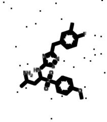 COc1ccc(S(=O)(=O)C(CC(C)N)Nc2nc(Cc3ccc(F)c(C)c3)ns2)cc1